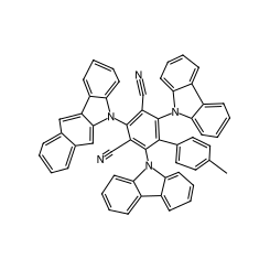 Cc1ccc(-c2c(-n3c4ccccc4c4ccccc43)c(C#N)c(-n3c4ccccc4c4cc5ccccc5cc43)c(C#N)c2-n2c3ccccc3c3ccccc32)cc1